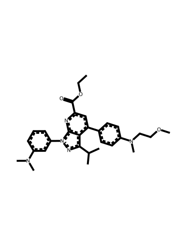 CCOC(=O)c1cc(-c2ccc(N(C)CCOC)cc2)c2c(C(C)C)nn(-c3cccc(N(C)C)c3)c2n1